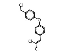 ClCc1ccc(Oc2ccc(C=C(Cl)Cl)cc2)cc1